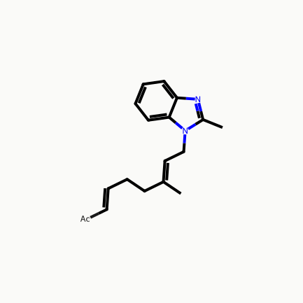 CC(=O)/C=C/CC/C(C)=C/Cn1c(C)nc2ccccc21